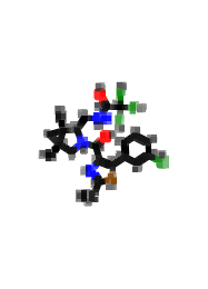 Cc1nc(C(=O)N2C[C@@H]3C[C@@H]3[C@H]2CNC(=O)C(F)(F)F)c(-c2cccc(Cl)c2)s1